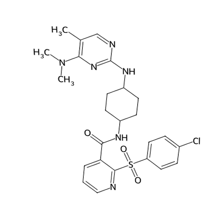 Cc1cnc(NC2CCC(NC(=O)c3cccnc3S(=O)(=O)c3ccc(Cl)cc3)CC2)nc1N(C)C